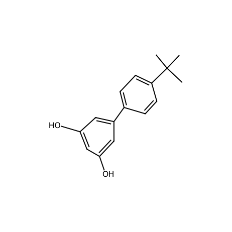 CC(C)(C)c1ccc(-c2cc(O)cc(O)c2)cc1